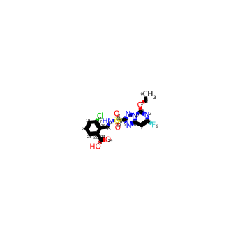 CCOc1nc(F)cc2nc(S(=O)(=O)NCc3c(Cl)cccc3C(=O)O)nn12